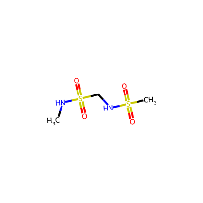 CNS(=O)(=O)CNS(C)(=O)=O